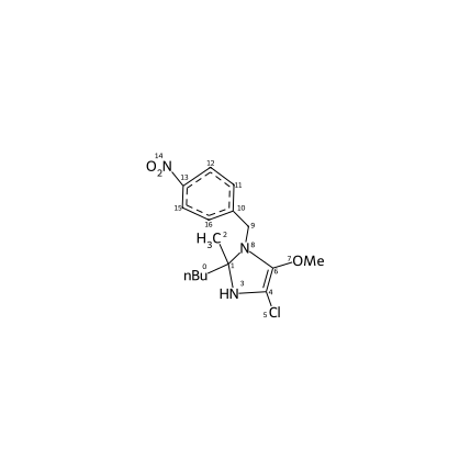 CCCCC1(C)NC(Cl)=C(OC)N1Cc1ccc([N+](=O)[O-])cc1